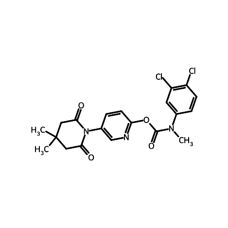 CN(C(=O)Oc1ccc(N2C(=O)CC(C)(C)CC2=O)cn1)c1ccc(Cl)c(Cl)c1